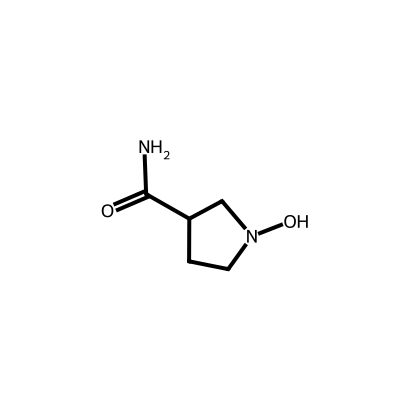 NC(=O)C1CCN(O)C1